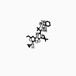 CCCCC(NC(=O)[C@@H]1C2C(CN1C(=O)C(NC(=O)NC1(CS(C)(=O)=O)CCCCC1)C(C)(C)C)C2(C)C)C(=O)C(=O)NC1CC1